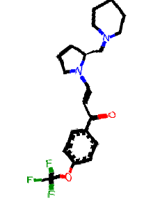 O=C(/C=C/N1CCC[C@H]1CN1CCCCC1)c1ccc(OC(F)(F)F)cc1